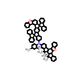 Cc1ccc(N(c2ccc3c(c2)C(C)(C)c2c4c(c5oc6ccccc6c5c2-3)-c2ccccc2C4(C)C)c2ccc3c(c2)C2(c4ccccc4-c4ccccc42)c2cc4c(cc2-3)C2(c3ccccc3-c3ccccc32)c2ccc3oc5ccccc5c3c2-4)c(C)c1